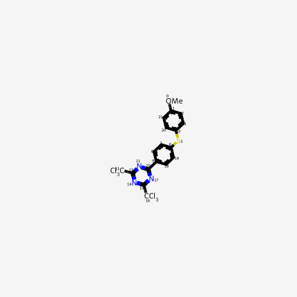 COc1ccc(Sc2ccc(-c3nc(C(Cl)(Cl)Cl)nc(C(Cl)(Cl)Cl)n3)cc2)cc1